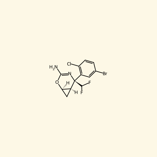 NC1=N[C@@](c2cc(Br)ccc2Cl)(C(F)F)[C@H]2C[C@H]2O1